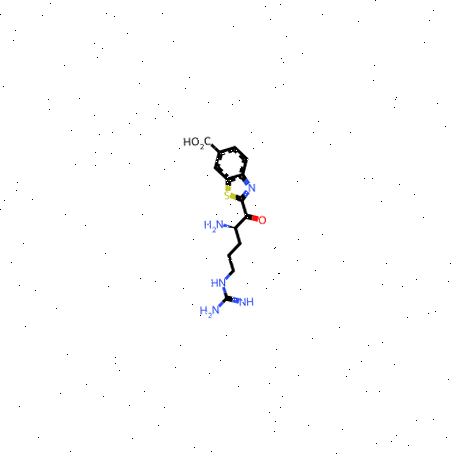 N=C(N)NCCC[C@@H](N)C(=O)c1nc2ccc(C(=O)O)cc2s1